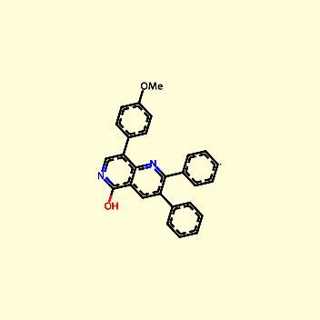 COc1ccc(-c2cnc(O)c3cc(-c4ccccc4)c(-c4cc[c]cc4)nc23)cc1